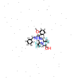 COc1ccccc1C(CNCc1ccccc1)N1CC(C(F)(F)F)N(CCO)C(C(F)(F)F)C1